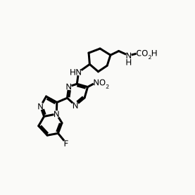 O=C(O)NCC1CCC(Nc2nc(-c3cnc4ccc(F)cn34)ncc2[N+](=O)[O-])CC1